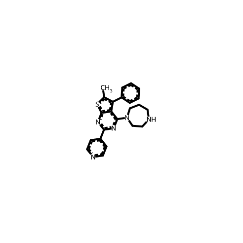 Cc1sc2nc(-c3ccncc3)nc(N3CCCNCC3)c2c1-c1ccccc1